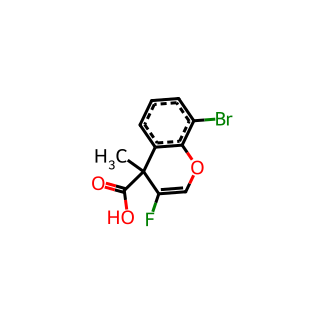 CC1(C(=O)O)C(F)=COc2c(Br)cccc21